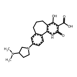 CN(C)C1CCN(c2ccc3c(c2)CCCc2c-3[nH]c(=O)c(C(=O)O)c2O)C1